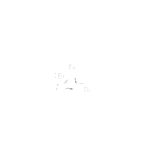 O=C(c1ccc(CBr)c(CBr)c1)C1(Br)CCCCC1